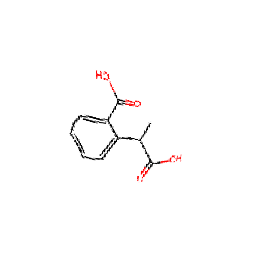 CC(C(=O)O)c1ccccc1C(=O)O